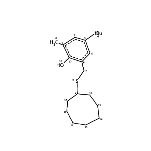 Cc1cc(C(C)(C)C)cc(CSC2CCCCCCC2)c1O